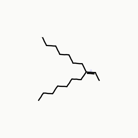 [CH2]CCCCCC/C(=C/C)CCCCCCC